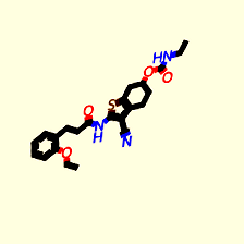 CCNC(=O)OC1CCc2c(sc(NC(=O)CCc3ccccc3OCC)c2C#N)C1